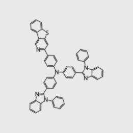 c1ccc(-n2c(-c3ccc(N(c4ccc(-c5cc6sc7ccccc7c6cn5)cc4)c4ccc(-c5nc6ccccc6n5-c5ccccc5)cc4)cc3)nc3ccccc32)cc1